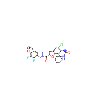 COc1ccc(CNC(=O)c2cc3cc(Cl)c4c(c3o2)C2(CCCCC2)NC(=O)N4)c(F)c1F